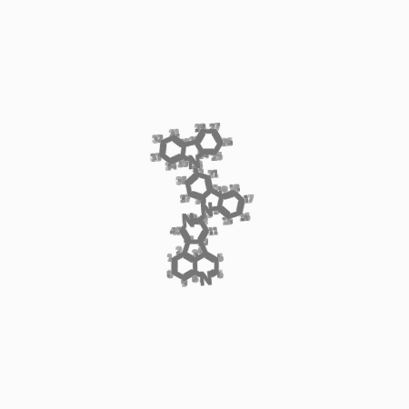 c1cc2c3c(ccnc3c1)-c1cc(-n3c4ccccc4c4cc(-n5c6ccccc6c6ccccc65)ccc43)ncc1-2